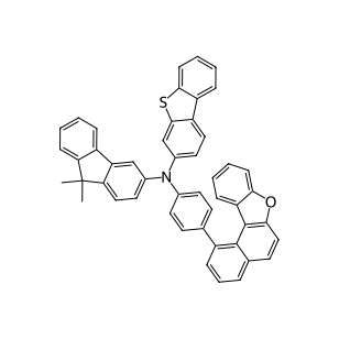 CC1(C)c2ccccc2-c2cc(N(c3ccc(-c4cccc5ccc6oc7ccccc7c6c45)cc3)c3ccc4c(c3)sc3ccccc34)ccc21